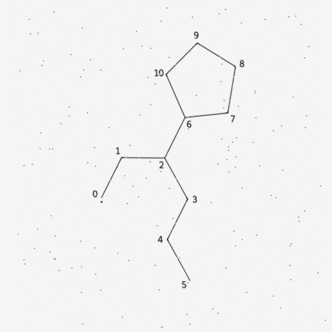 [CH2]CC(CCC)C1CCCC1